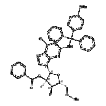 CCCCOC[C@H]1O[C@@H](n2cnc3c(Cl)nc(NC(c4ccccc4)(c4ccccc4)c4ccc(OC)cc4)nc32)[C@](C)(OC(=O)c2ccccc2)[C@@H]1F